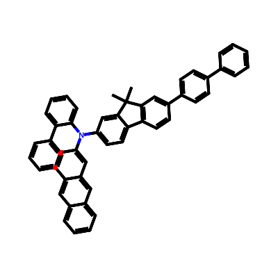 CC1(C)c2cc(-c3ccc(-c4ccccc4)cc3)ccc2-c2ccc(N(c3ccc4cc5ccccc5cc4c3)c3ccccc3-c3ccccc3)cc21